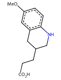 COc1ccc2c(c1)CC(CCC(=O)O)CN2